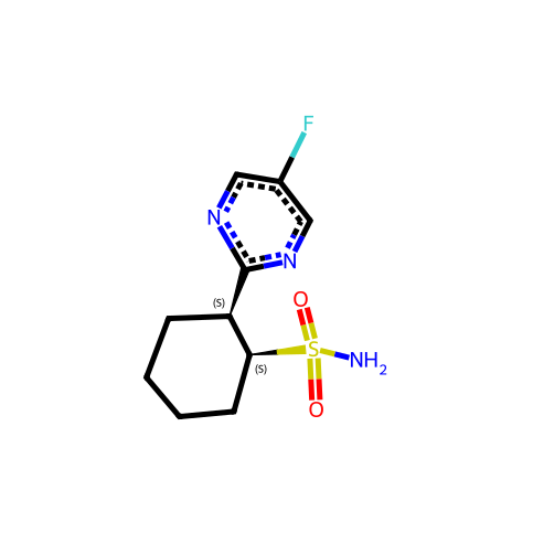 NS(=O)(=O)[C@H]1CCCC[C@H]1c1ncc(F)cn1